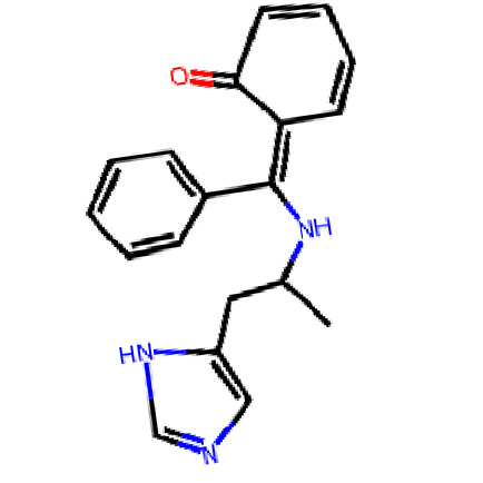 CC(Cc1cnc[nH]1)N/C(=C1\C=CC=CC1=O)c1ccccc1